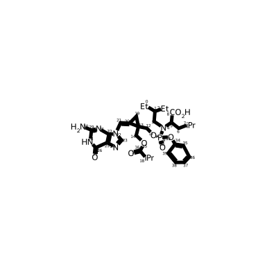 CCC(CC)CN(C(CC(C)C)C(=O)O)[P@](=O)(OCC1(COC(=O)C(C)C)C/C1=C/n1cnc2c(=O)[nH]c(N)nc21)Oc1ccccc1